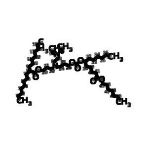 CCCCCCCCC(CCCCCCCC)C(=O)OCCCN(CCCOC(=O)OC(CCCCCC)CCCCC(=O)OCCCCCCC)CCN(CC)CC